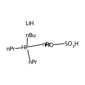 CCCC[PH](CCC)(CCC)CCC.O=S(=O)(O)O.[LiH]